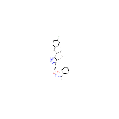 C[C@H](NS(=O)(=O)/C=C/c1n[nH]c2c1CSCC2Cc1ccc(F)cc1)c1ccccc1